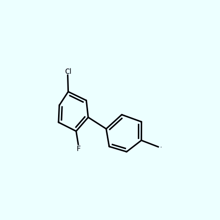 [CH2]c1ccc(-c2cc(Cl)ccc2F)cc1